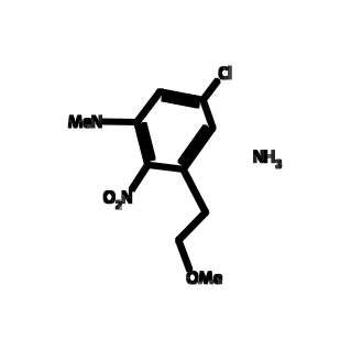 CNc1cc(Cl)cc(CCOC)c1[N+](=O)[O-].N